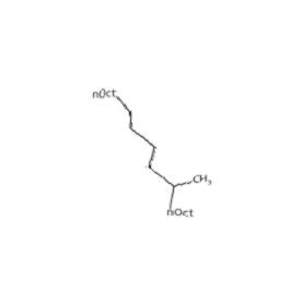 CCCCCCCCCCC[CH]C(C)CCCCCCCC